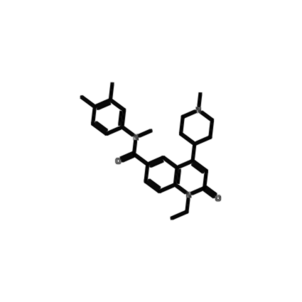 CCn1c(=O)cc(C2CCN(C)CC2)c2cc(C(=O)N(C)c3ccc(C)c(C)c3)ccc21